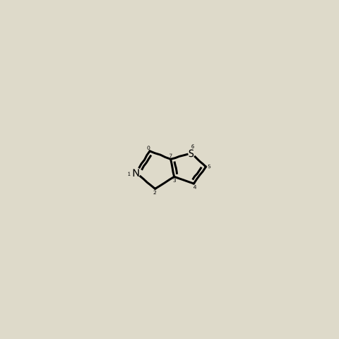 C1=NCc2ccsc21